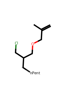 [CH2]CCCC[CH]C(CCl)COCC(=C)C